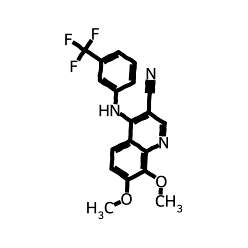 COc1ccc2c(Nc3cccc(C(F)(F)F)c3)c(C#N)cnc2c1OC